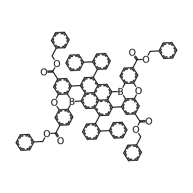 O=C(OCc1ccccc1)c1ccc2c(c1)Oc1cc(C(=O)OCc3ccccc3)cc3c1B2c1cc2c(-c4ccccc4-c4ccccc4)cc4c5c(cc6c(-c7ccccc7-c7ccccc7)cc-3c1c6c25)B1c2ccc(C(=O)OCc3ccccc3)cc2Oc2cc(C(=O)OCc3ccccc3)cc-4c21